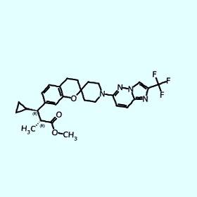 COC(=O)[C@H](C)[C@H](c1ccc2c(c1)OC1(CC2)CCN(c2ccc3nc(C(F)(F)F)cn3n2)CC1)C1CC1